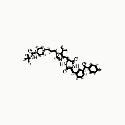 CC(C)c1c(/C=c2\[nH]c(=O)/c(=C/c3cccc(C(=O)c4ccc(F)cc4)c3)[nH]c2=O)ncn1CCCN1CCN(C(=O)NC(C)(C)C)CC1